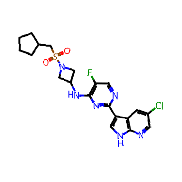 O=S(=O)(CC1CCCC1)N1CC(Nc2nc(-c3c[nH]c4ncc(Cl)cc34)ncc2F)C1